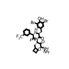 CCCNC(=O)C(=O)[C@H](CC1CCC1)NC(=O)[C@H](Cc1cc(Br)c(O)c(Br)c1)N[C@@H](c1cccc(C(F)(F)F)c1)C(F)F